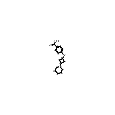 O=C(O)c1ccc(SC2CC(N3CCCCC3)C2)cc1